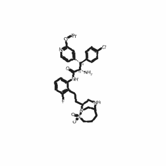 CC(C)Oc1cc([C@H](c2ccc(Cl)cc2)[C@H](N)C(=O)Nc2cccc(F)c2CCC2CNC3CCCS(=O)(=O)N2C3)ccn1